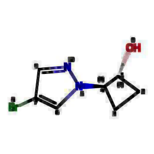 O[C@@H]1CC[C@H]1n1cc(Br)cn1